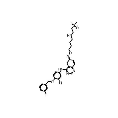 CS(=O)(=O)CCNCCCCON=C1C=Cc2ncnc(Nc3ccc(OCc4cccc(F)c4)c(Cl)c3)c2C1